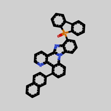 O=P1(c2cccc3c2nc2c4cccnc4c4c(-c5ccc6ccccc6c5)cccc4n32)c2ccccc2-c2ccccc21